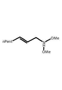 CCCCCC=CC[SiH](OC)OC